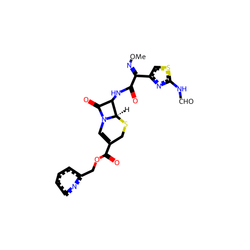 CON=C(C(=O)NC1C(=O)N2C=C(C(=O)OCc3ccccn3)CS[C@H]12)c1csc(NC=O)n1